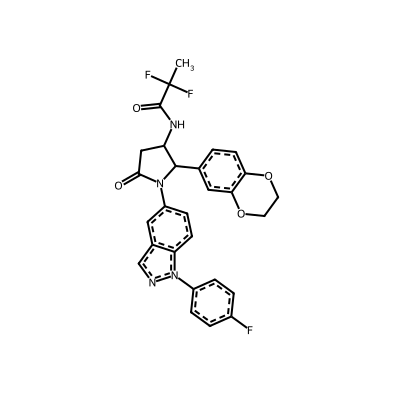 CC(F)(F)C(=O)NC1CC(=O)N(c2ccc3c(cnn3-c3ccc(F)cc3)c2)C1c1ccc2c(c1)OCCO2